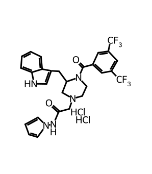 Cl.Cl.O=C(CN1CCN(C(=O)c2cc(C(F)(F)F)cc(C(F)(F)F)c2)C(Cc2c[nH]c3ccccc23)C1)Nn1cccc1